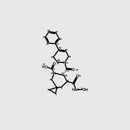 O=C(NO)C1CC2(CC2)CN(C(=O)O)[C@@H]1C(=O)N1CC=C(c2ccccc2)CC1